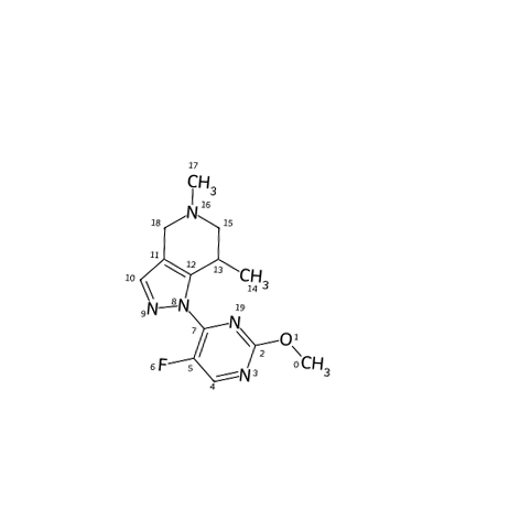 COc1ncc(F)c(-n2ncc3c2C(C)CN(C)C3)n1